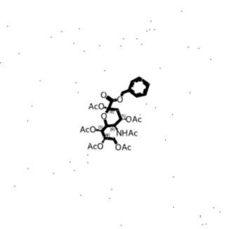 CC(=O)N[C@H]1C([C@H](OC(C)=O)[C@@H](COC(C)=O)OC(C)=O)O[C@](OC(C)=O)(C(=O)OCc2ccccc2)C[C@@H]1OC(C)=O